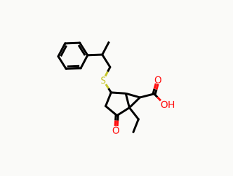 CCC12C(=O)CC(SCC(C)c3ccccc3)C1C2C(=O)O